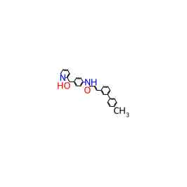 Cc1ccc(-c2cccc(C=CC(=O)Nc3ccc(C(O)c4ccccn4)cc3)c2)cc1